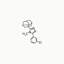 Cn1c(-c2cccc(Cl)c2)nnc1C12CC3CC(CC(C3)C1)C2